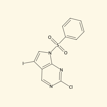 O=S(=O)(c1ccccc1)n1cc(I)c2cnc(Cl)nc21